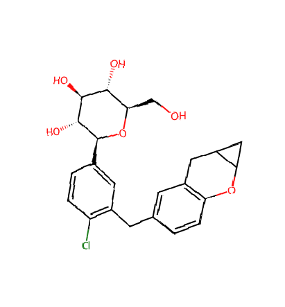 OC[C@H]1O[C@@H](c2ccc(Cl)c(Cc3ccc4c(c3)CC3CC3O4)c2)[C@H](O)[C@@H](O)[C@@H]1O